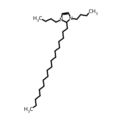 CCCCCCCCCCCCCCCCCCC1N(CCCC)C=CN1CCCC